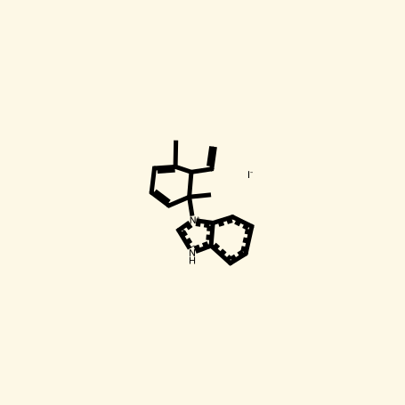 C=CC1C(C)=CC=CC1(C)[n+]1c[nH]c2ccccc21.[I-]